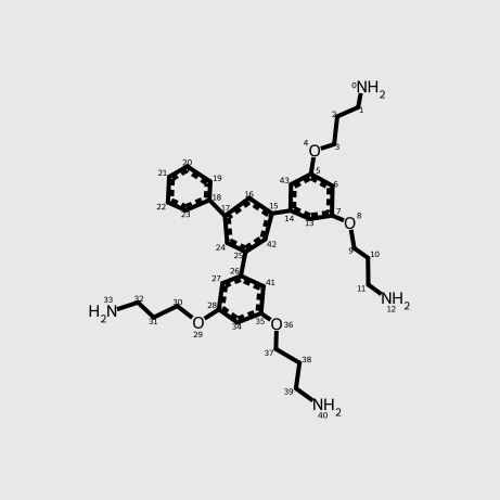 NCCCOc1cc(OCCCN)cc(-c2cc(-c3ccccc3)cc(-c3cc(OCCCN)cc(OCCCN)c3)c2)c1